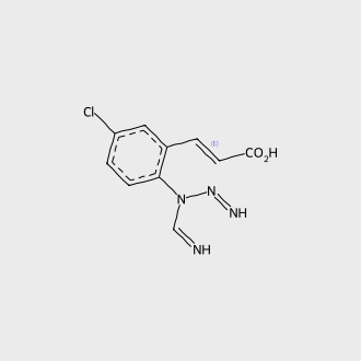 N=CN(N=N)c1ccc(Cl)cc1/C=C/C(=O)O